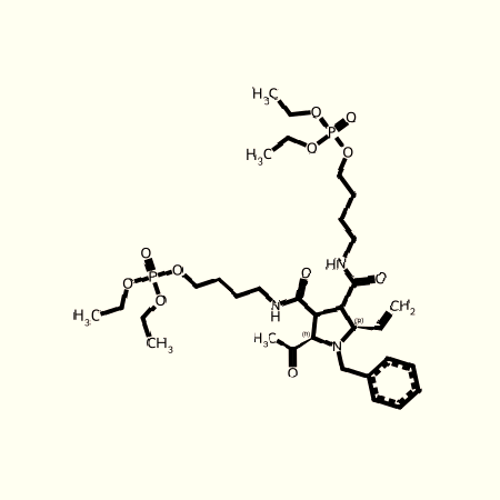 C=C[C@@H]1C(C(=O)NCCCCOP(=O)(OCC)OCC)C(C(=O)NCCCCOP(=O)(OCC)OCC)[C@H](C(C)=O)N1Cc1ccccc1